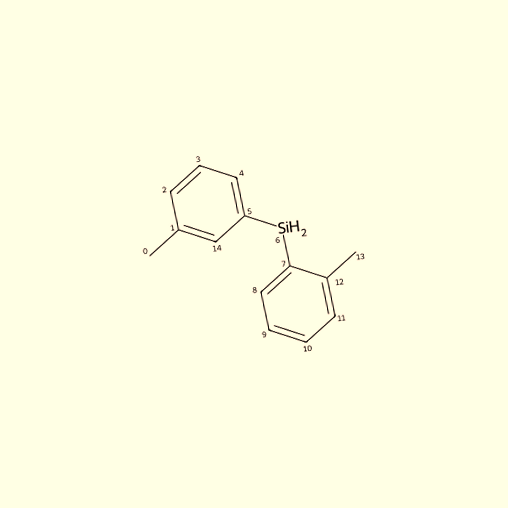 Cc1cccc([SiH2]c2ccccc2C)c1